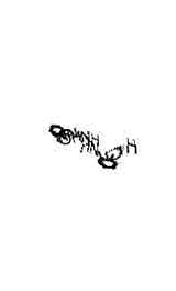 Oc1ccccc1CNCCNCCNCc1ccccc1O